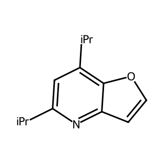 CC(C)c1cc(C(C)C)c2occc2n1